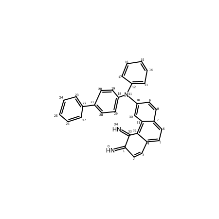 N=C1C=Cc2ccc3ccc(N(c4ccccc4)c4ccc(-c5ccccc5)cc4)cc3c2C1=N